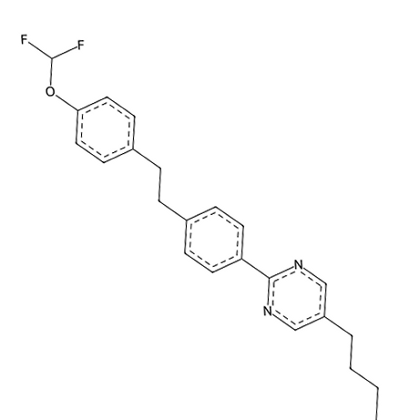 CCCCc1cnc(-c2ccc(CCc3ccc(OC(F)F)cc3)cc2)nc1